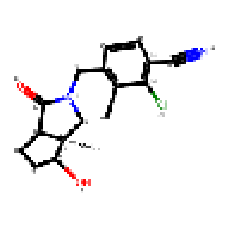 Cc1c(CN2C[C@H]3C(O)CCC3C2=O)ccc(C#N)c1Cl